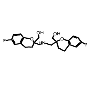 OCC1(CNCC2(CO)CCc3cc(F)ccc3O2)CCc2cc(F)ccc2O1